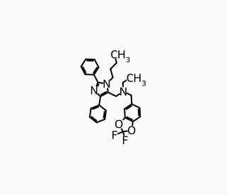 CCCCn1c(-c2ccccc2)nc(-c2ccccc2)c1CN(CC)Cc1ccc2c(c1)OC(F)(F)O2